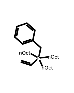 C=CP(CCCCCCCC)(CCCCCCCC)(CCCCCCCC)Cc1ccccc1